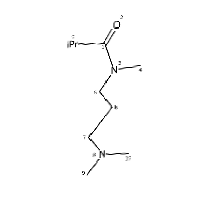 CC(C)C(=O)N(C)CCCN(C)C